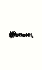 NCCOCCOCCOCCOc1cccnc1[N+](=O)[O-]